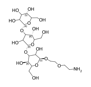 NCCOCCO[C@H]1OC(CO)[C@@H](O)C(O[C@H]2OC(CO)[C@@H](O)C(O[C@H]3OC(CO)[C@@H](O)C(O)C3O)C2O)C1O